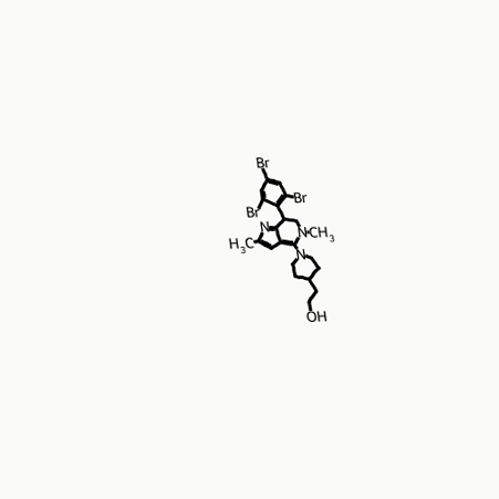 CC1=CC2=C(N3CCC(CCO)CC3)N(C)CC(c3c(Br)cc(Br)cc3Br)C2=N1